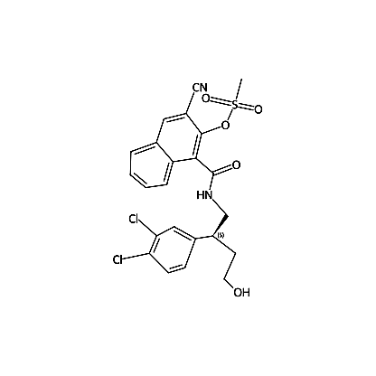 CS(=O)(=O)Oc1c(C#N)cc2ccccc2c1C(=O)NC[C@@H](CCO)c1ccc(Cl)c(Cl)c1